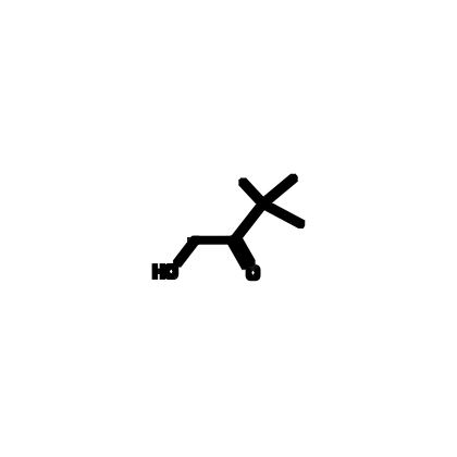 CC(C)(C)C(=O)[CH]O